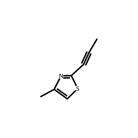 CC#Cc1nc(C)cs1